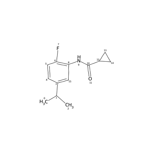 CC(C)c1ccc(F)c(NC(=O)C2CC2)c1